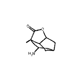 CC12C(=O)OC3CC(CC31)C2N